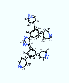 c1cc(-c2cc(-c3ccncc3)cc(-c3cc(-c4cc(-c5ccncc5)cc(-c5ccncc5)c4)ncn3)c2)ccn1